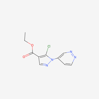 CCOC(=O)c1cnn(-c2ccnnc2)c1Cl